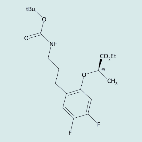 CCOC(=O)[C@@H](C)Oc1cc(F)c(F)cc1CCCNC(=O)OC(C)(C)C